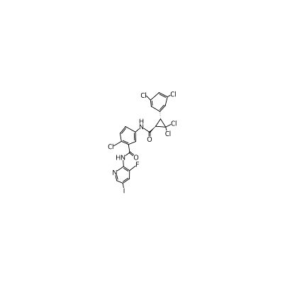 O=C(Nc1ncc(I)cc1F)c1cc(NC(=O)[C@H]2[C@H](c3cc(Cl)cc(Cl)c3)C2(Cl)Cl)ccc1Cl